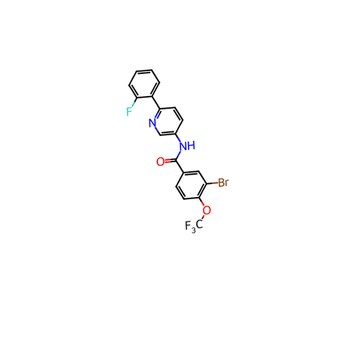 O=C(Nc1ccc(-c2ccccc2F)nc1)c1ccc(OC(F)(F)F)c(Br)c1